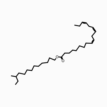 CC/C=C\C/C=C\C/C=C\CCCCCCCC(=O)OCCCCCCCCCCC(C)CC